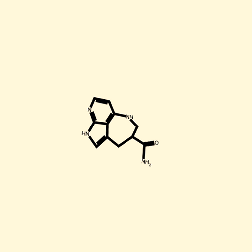 NC(=O)C1CNc2ccnc3[nH]cc(c23)C1